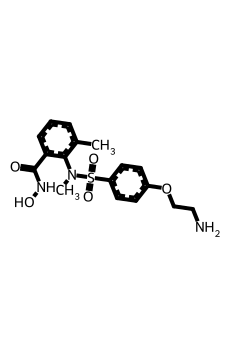 Cc1cccc(C(=O)NO)c1N(C)S(=O)(=O)c1ccc(OCCN)cc1